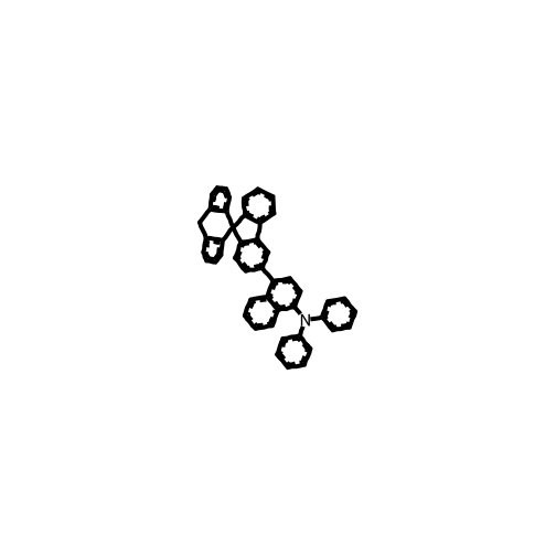 c1ccc(N(c2ccccc2)c2ccc(-c3ccc4c(c3)-c3ccccc3C43c4ccccc4Cc4ccccc43)c3ccccc23)cc1